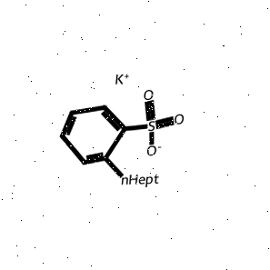 CCCCCCCc1ccccc1S(=O)(=O)[O-].[K+]